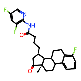 C[C@]12CCC3c4cccc(F)c4CCC3C1[C@H](CCCC(=O)Nc1ncc(F)cc1F)CC2=O